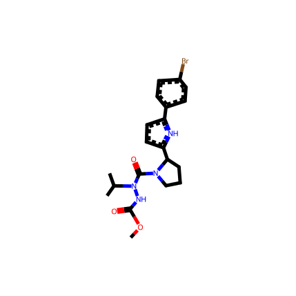 COC(=O)NN(C(=O)N1CCCC1c1ccc(-c2ccc(Br)cc2)[nH]1)C(C)C